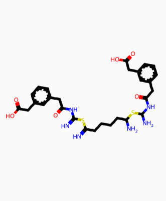 N=C(CCCCC(N)SC(N)NC(=O)Cc1cccc(CC(=O)O)c1)SC(=N)NC(=O)Cc1cccc(CC(=O)O)c1